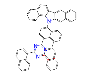 c1ccc(-c2nc(-c3cccc4ccccc34)nc(-c3ccc(-n4c5cc6ccccc6cc5c5ccc6ccccc6c54)c4cccc(-c5ccccc5)c34)n2)cc1